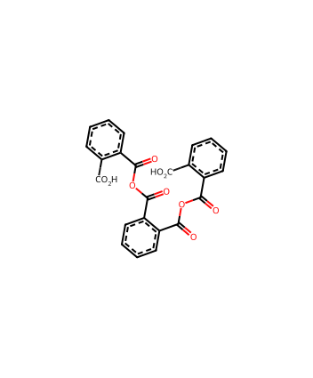 O=C(O)c1ccccc1C(=O)OC(=O)c1ccccc1C(=O)OC(=O)c1ccccc1C(=O)O